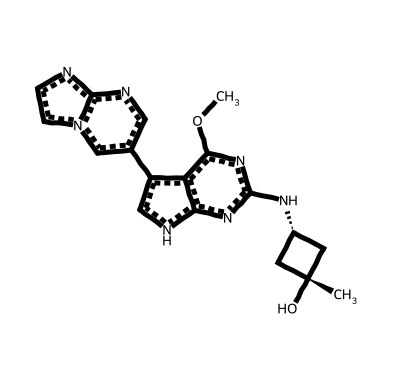 COc1nc(N[C@H]2C[C@@](C)(O)C2)nc2[nH]cc(-c3cnc4nccn4c3)c12